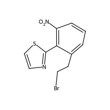 O=[N+]([O-])c1cccc(CCBr)c1-c1nccs1